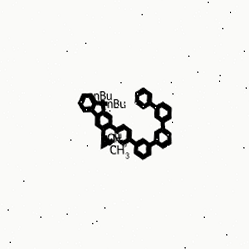 CCCCC1(CCCC)c2ccccc2-c2cc3c(cc21)C1=CC=C(c2cccc(-c4cccc(-c5cccc(-c6ccccc6)c5)c4)c2)CN1C1(C)CC31C